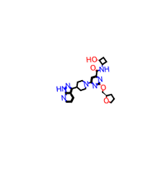 O=C(N[C@@H]1CC[C@H]1O)c1cc(N2CCC(c3n[nH]c4ncccc34)CC2)nc(OC[C@H]2CCCO2)n1